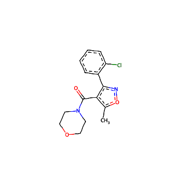 Cc1onc(-c2ccccc2Cl)c1C(=O)N1CCOCC1